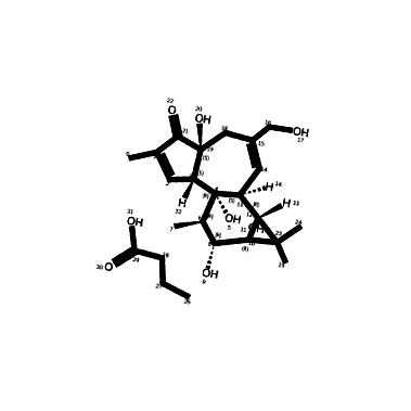 CC1=C[C@H]2[C@]3(O)[C@H](C)[C@@H](O)[C@@]4(O)[C@H]([C@@H]3C=C(CO)C[C@@]2(O)C1=O)C4(C)C.CCCC(=O)O